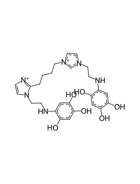 Oc1cc(O)c(NCCN2C=C[N+]=C2CCCC[n+]2ccn(CCNc3cc(O)c(O)cc3O)c2)cc1O